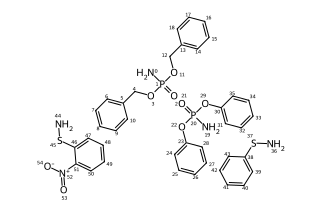 NP(=O)(OCc1ccccc1)OCc1ccccc1.NP(=O)(Oc1ccccc1)Oc1ccccc1.NSc1ccccc1.NSc1ccccc1[N+](=O)[O-]